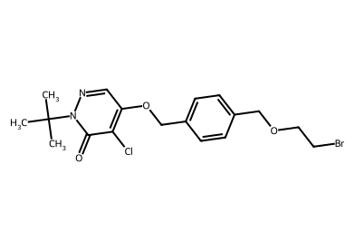 CC(C)(C)n1ncc(OCc2ccc(COCCBr)cc2)c(Cl)c1=O